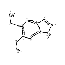 OCc1cc2cn[se]c2cc1CO